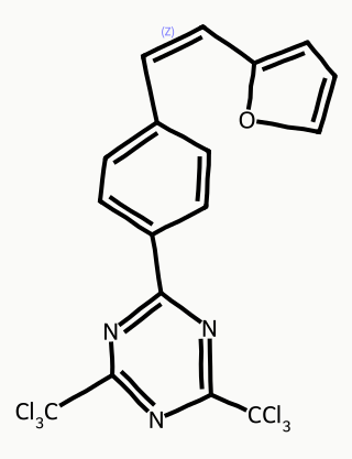 ClC(Cl)(Cl)c1nc(-c2ccc(/C=C\c3ccco3)cc2)nc(C(Cl)(Cl)Cl)n1